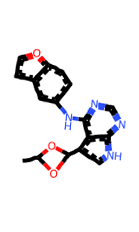 CC1OC(c2c[nH]c3ncnc(Nc4ccc5occc5c4)c23)O1